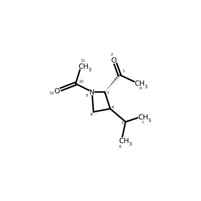 CC(=O)[C@@H]1C(C(C)C)CN1C(C)=O